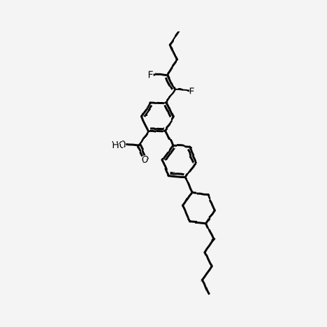 CCCCCC1CCC(c2ccc(-c3cc(/C(F)=C(\F)CCC)ccc3C(=O)O)cc2)CC1